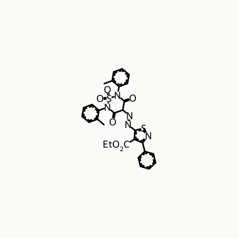 CCOC(=O)c1c(-c2ccccc2)nsc1N=NC1C(=O)N(c2ccccc2C)S(=O)(=O)N(c2ccccc2C)C1=O